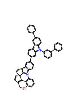 C1=Cc2c3n(c4ccc(-c5ccc6c7cc(-c8ccccc8)ccc7n(-c7cccc(-c8ccccc8)c7)c6c5)cc24)-c2cccc4c2C2=C(C=CC23C1)CO4